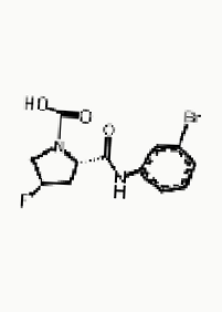 O=C(Nc1cccc(Br)c1)[C@@H]1C[C@@H](F)CN1C(=O)O